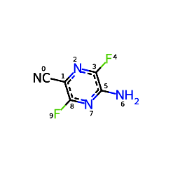 N#Cc1nc(F)c(N)nc1F